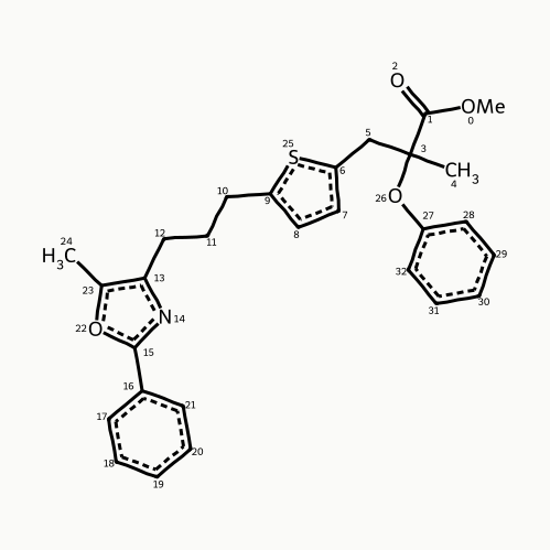 COC(=O)C(C)(Cc1ccc(CCCc2nc(-c3ccccc3)oc2C)s1)Oc1ccccc1